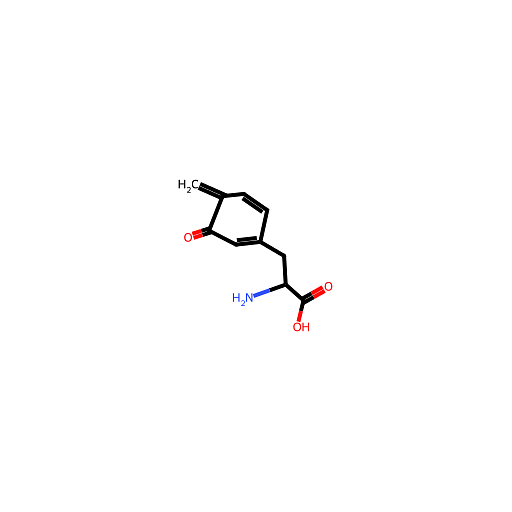 C=C1C=CC(CC(N)C(=O)O)=CC1=O